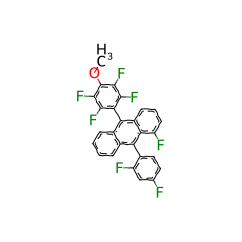 COc1c(F)c(F)c(-c2c3ccccc3c(-c3ccc(F)cc3F)c3c(F)cccc23)c(F)c1F